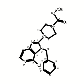 CC(C)(C)OC(=O)N1CCN(c2nc3ccnc(Cl)c3n2Cc2ccccc2)CC1